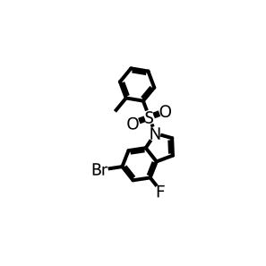 Cc1ccccc1S(=O)(=O)n1ccc2c(F)cc(Br)cc21